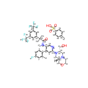 Cc1cc(F)ccc1-c1cc(N2C[C@H]3COCCN3C[C@H]2CO)ncc1N(C)C(=O)C(C)(C)c1cc(C(F)(F)F)cc(C(F)(F)F)c1.Cc1ccc(S(=O)(=O)O)cc1